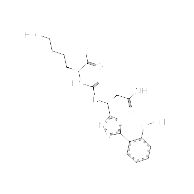 CCCCC[C@H](NC(=O)N[C@@H](CC(N)=O)c1nnc(-c2ccccc2OC)o1)C(=O)O